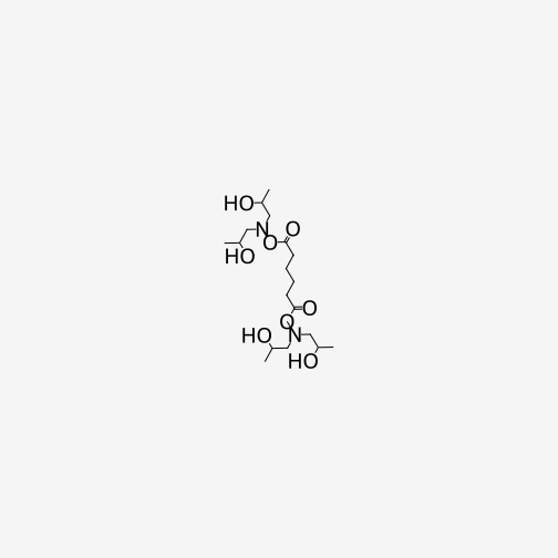 CC(O)CN(CC(C)O)OC(=O)CCCCC(=O)ON(CC(C)O)CC(C)O